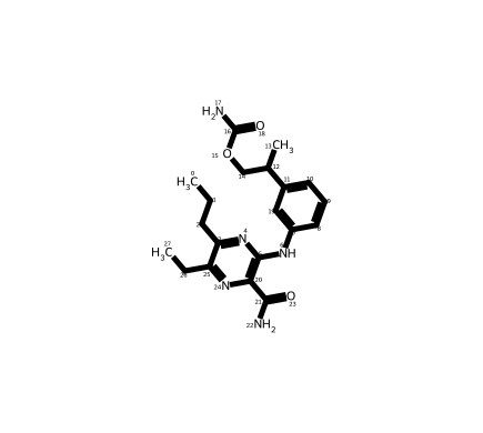 CCCc1nc(Nc2cccc(C(C)COC(N)=O)c2)c(C(N)=O)nc1CC